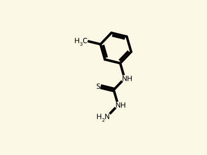 Cc1cccc(NC(=S)NN)c1